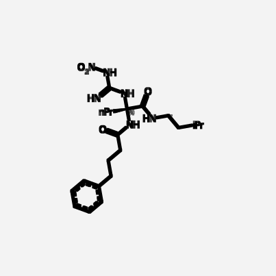 CCC[C@](NC(=N)N[N+](=O)[O-])(NC(=O)CCCc1ccccc1)C(=O)N[CH]CC(C)C